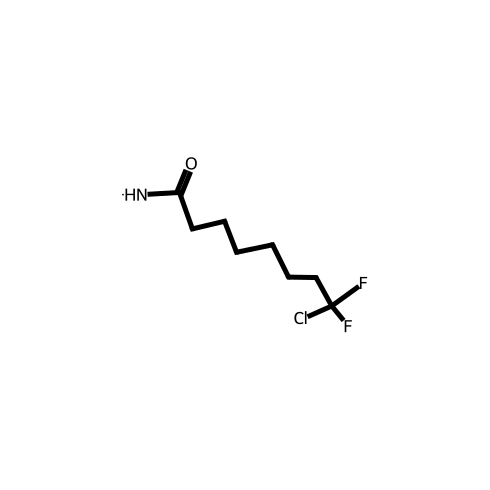 [NH]C(=O)CCCCCCC(F)(F)Cl